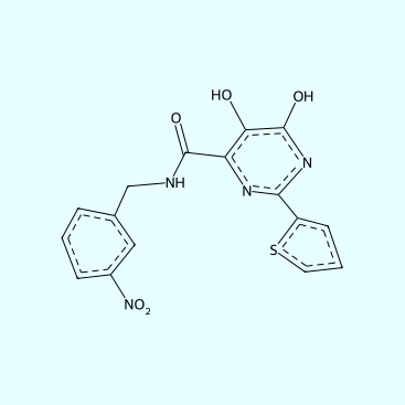 O=C(NCc1cccc([N+](=O)[O-])c1)c1nc(-c2cccs2)nc(O)c1O